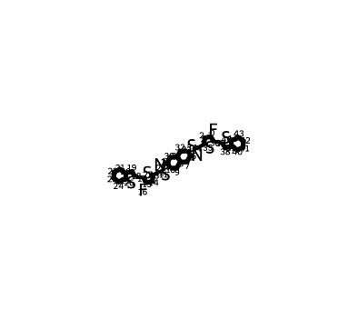 Fc1cc(-c2nc3cc4cc5sc(-c6cc(F)c(-c7cc8ccccc8s7)s6)nc5cc4cc3s2)sc1-c1cc2ccccc2s1